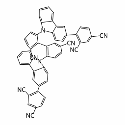 N#Cc1ccc(-c2ccc3c(c2)c2ccccc2n3-c2ccc(C#N)cc2-c2c(C#N)cccc2-n2c3ccccc3c3cc(-c4ccc(C#N)cc4C#N)ccc32)c(C#N)c1